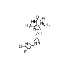 CC[C@H]1C(=O)Nc2c(C)nc(NCc3cnn(Cc4cnc(Cl)c(F)c4)c3)nc2N1C